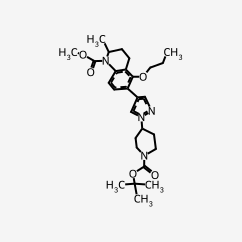 CCCOc1c(-c2cnn(C3CCN(C(=O)OC(C)(C)C)CC3)c2)ccc2c1CCC(C)N2C(=O)OC